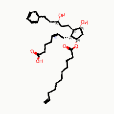 C=CCCCCCCCCC(=O)O[C@H]1C[C@@H](O)[C@H](CC[C@@H](O)CCc2ccccc2)[C@H]1C/C=C\CCCC(=O)O